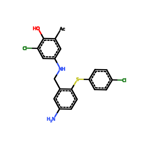 CC(=O)c1cc(NCc2cc(N)ccc2Sc2ccc(Cl)cc2)cc(Cl)c1O